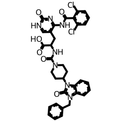 O=C(Nc1nc(=O)[nH]cc1CC(NC(=O)N1CCC(n2c(=O)n(Cc3ccccc3)c3ccccc32)CC1)C(=O)O)c1c(Cl)cccc1Cl